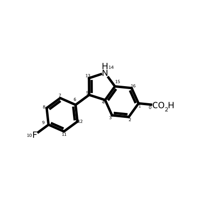 O=C(O)c1ccc2c(-c3ccc(F)cc3)c[nH]c2c1